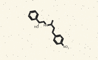 CC(CCc1ccc([N+](=O)[O-])cc1)NC[C@H](O)c1ccccc1